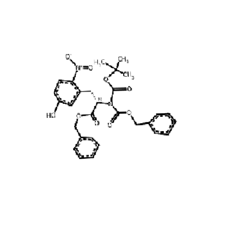 CC(C)(C)OC(=O)N(C(=O)OCc1ccccc1)[C@@H](Cc1cc(O)ccc1[N+](=O)[O-])C(=O)OCc1ccccc1